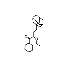 CCOC(CCC12CC3CC(CC(C3)C1)C2)C(=O)C1CCCCC1